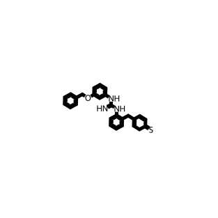 N=C(Nc1cccc(OCc2ccccc2)c1)Nc1ccccc1CC1=CCC(=S)C=C1